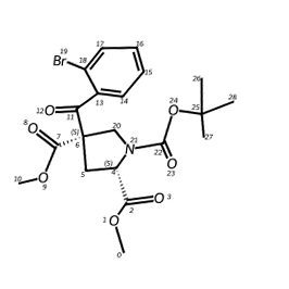 COC(=O)[C@@H]1C[C@@](C(=O)OC)(C(=O)c2ccccc2Br)CN1C(=O)OC(C)(C)C